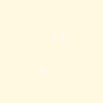 c1ccc2c(c1)ccc1c(-c3ccc(-c4cnc5c6ccccc6c6ccccc6c5n4)cc3)c3ccccc3nc12